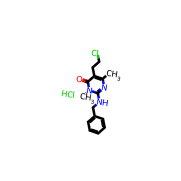 Cc1nc(NCc2ccccc2)n(C)c(=O)c1CCCl.Cl